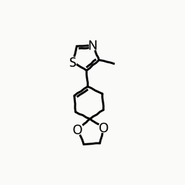 Cc1ncsc1C1=CCC2(CC1)OCCO2